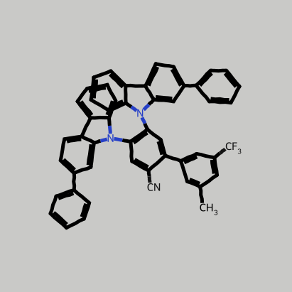 Cc1cc(-c2cc(-n3c4ccccc4c4ccc(-c5ccccc5)cc43)c(-n3c4ccccc4c4ccc(-c5ccccc5)cc43)cc2C#N)cc(C(F)(F)F)c1